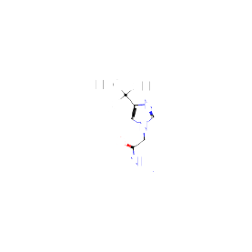 CC(C)(C)c1cn(CC(N)=O)cn1